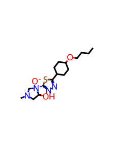 CCCCOC1CCC(c2nnc([N+]3([O-])CN(C)CC3O)s2)CC1